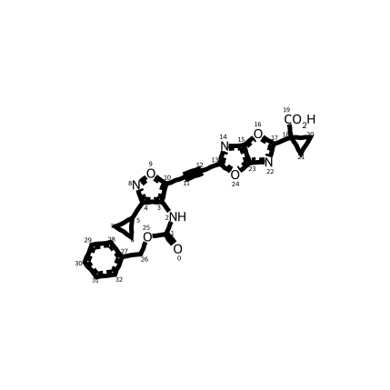 O=C(Nc1c(C2CC2)noc1C#Cc1nc2oc(C3(C(=O)O)CC3)nc2o1)OCc1ccccc1